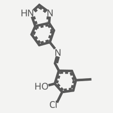 Cc1cc(Cl)c(O)c(/C=N/c2ccc3[nH]cnc3c2)c1